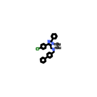 CCCCN(Cc1ccc(-c2ccccc2)cc1)Cc1c(-c2ccc(Cl)cc2)nc(-c2ccccc2)n1CCCC